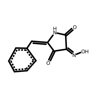 O=C1N/C(=C/c2ccccc2)C(=O)/C1=N/O